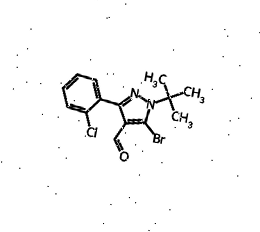 CC(C)(C)n1nc(-c2ccccc2Cl)c(C=O)c1Br